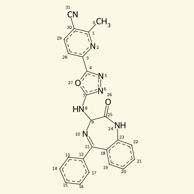 Cc1nc(-c2nnc(NC3N=C(c4ccccc4)c4ccccc4NC3=O)o2)ccc1C#N